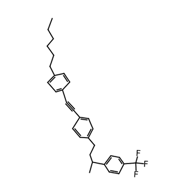 CCCCCCc1ccc(C#Cc2ccc(CCC(C)c3ccc(C(F)(F)F)cc3)cc2)cc1